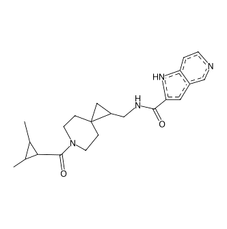 CC1C(C)C1C(=O)N1CCC2(CC1)CC2CNC(=O)c1cc2cnccc2[nH]1